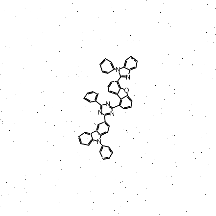 c1ccc(-c2nc(-c3ccc4c(c3)c3ccccc3n4-c3ccccc3)nc(-c3cccc4oc5c(-c6nc7ccccc7n6-c6ccccc6)cccc5c34)n2)cc1